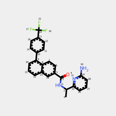 CC(NC(=O)c1ccc2c(-c3ccc(C(F)(F)F)cc3)cccc2c1)c1cccc(N)n1